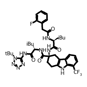 CCC(C)[C@H](NC(=O)Cc1ccccc1F)C(=O)N[C@]1(C(=O)N[C@H](C(=O)Nc2nnnn2C(C)(C)C)C(C)CC)CCc2[nH]c3c(C(F)(F)F)cccc3c2C1